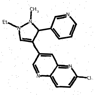 CCN1C=C(c2cnc3ccc(Cl)nc3c2)C(c2cccnc2)N1C